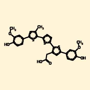 COc1cc(-c2cc(C)c(-c3ccc(-c4sc(-c5ccc(O)c(OC)c5)cc4CC(=O)O)s3)s2)ccc1O